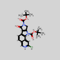 CC(C)(C)OC(=O)N1Cc2c(c3ccc4cnc(Cl)cc4c3n2C(=O)OC(C)(C)C)C1=O